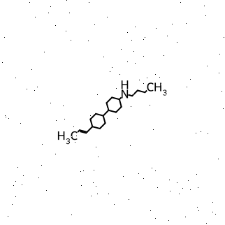 C/C=C/C1CCC(C2CCC(NCCCC)CC2)CC1